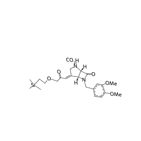 COc1ccc(CN2C(=O)[C@@H]3[C@H]2C(=CC(=O)COCC[Si](C)(C)C)CN3C(=O)O)cc1OC